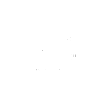 COC(=O)C(C)(O)C[N+](=O)[O-]